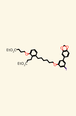 CCOC(=O)CCCOc1cccc(CCCCCCOc2cc(I)cc(-c3ccc4c(c3)OCO4)c2)c1CCC(=O)OCC